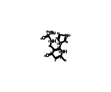 Cc1cc(=O)c(CNC(=O)C(C)(C)C)c(-n2ccnc2)[nH]1